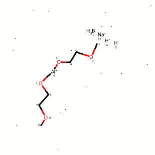 B.COCC[O][Al+][O]CCOC.[H-].[H-].[Na+]